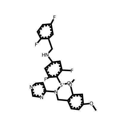 COc1ccc(CN(c2ccncn2)[S+]([O-])c2c(F)cc(NCc3cc(F)ccc3F)cc2F)c(OC)c1